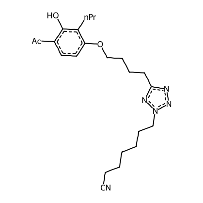 CCCc1c(OCCCCc2nnn(CCCCCCC#N)n2)ccc(C(C)=O)c1O